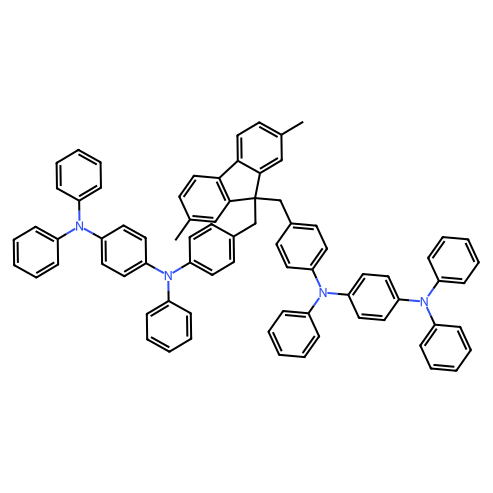 Cc1ccc2c(c1)C(Cc1ccc(N(c3ccccc3)c3ccc(N(c4ccccc4)c4ccccc4)cc3)cc1)(Cc1ccc(N(c3ccccc3)c3ccc(N(c4ccccc4)c4ccccc4)cc3)cc1)c1cc(C)ccc1-2